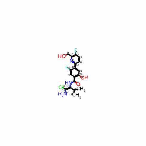 C=C(C)/C(NC(=O)c1cc(F)c(-c2ccc(F)c(CO)n2)cc1O)=C(\N)Cl